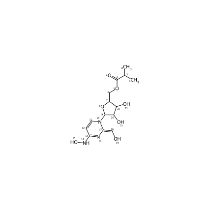 CC(C)C(=O)OCC1OC(N2C=CC(NO)=N/C2=C\O)C(O)C1O